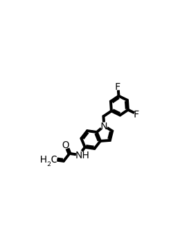 C=CC(=O)Nc1ccc2c(ccn2Cc2cc(F)cc(F)c2)c1